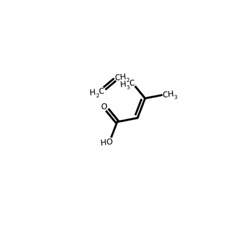 C=C.CC(C)=CC(=O)O